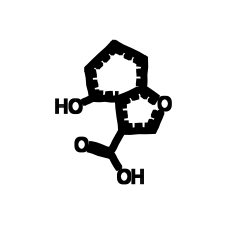 O=C(O)c1coc2cccc(O)c12